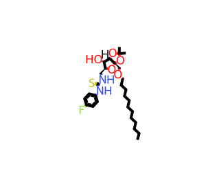 CCCCCCCCCCCCOC[C@@]12O[C@@H](CNC(=S)Nc3ccc(F)cc3)[C@@H](O)[C@@H]1OC(C)(C)O2